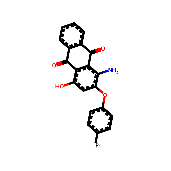 CC(C)c1ccc(Oc2cc(O)c3c(c2N)C(=O)c2ccccc2C3=O)cc1